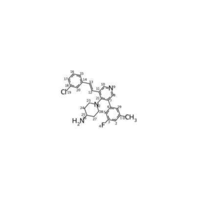 Cc1cc(F)cc(-c2cncc(C=Cc3cccc(Cl)c3)c2N2CCC(N)CC2)c1